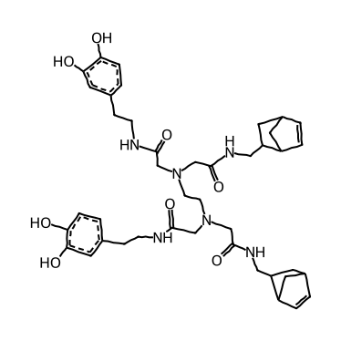 O=C(CN(CCN(CC(=O)NCCc1ccc(O)c(O)c1)CC(=O)NCC1CC2C=CC1C2)CC(=O)NCC1CC2C=CC1C2)NCCc1ccc(O)c(O)c1